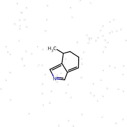 CC1CCC=C2C=NC=C21